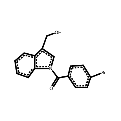 O=C(c1ccc(Br)cc1)n1cc(CO)c2ccccc21